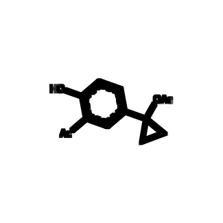 CC(=O)OC1(c2ccc(O)c(C(C)=O)c2)CC1